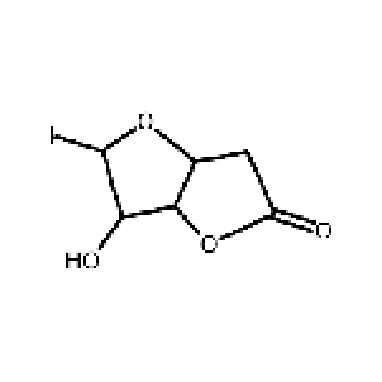 O=C1CC2OC(I)C(O)C2O1